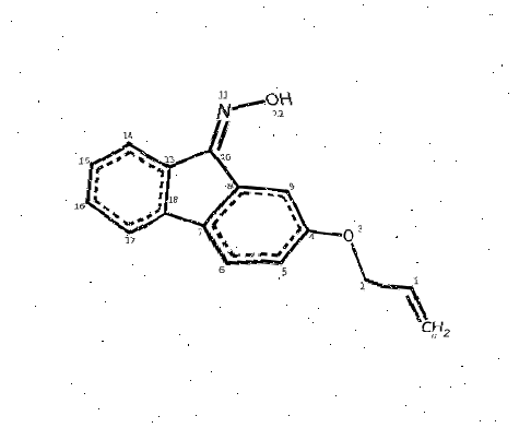 C=CCOc1ccc2c(c1)C(=NO)c1ccccc1-2